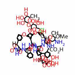 COC1C(N)CC(O[C@@H]2c3ccc(c(Cl)c3)Oc3cc4cc(c3O[C@@H]3OC(CO)[C@@H](O)C(O)C3OC3O[C@@H](C)C(O)C(O)[C@@H]3O)Oc3ccc(cc3)[C@H]3OC(=O)N[C@H]3C(=O)N[C@@H](Cc3ccccc3)C(=O)N[C@@H]4C(=O)N[C@@H]3C(=O)N[C@@H]2C(=O)N[C@H](C(=O)O)c2cc(O)cc(O[C@@H]4OC(CO)[C@]5(O)OC4C5O)c2-c2cc3ccc2CO)O[C@H]1C